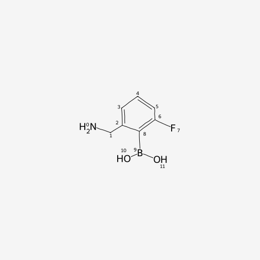 NCc1cccc(F)c1B(O)O